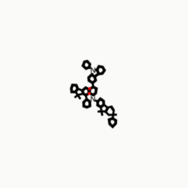 CC1(c2ccccc2)C=CC2=C(C1)C(C)(C)c1cc(N(c3ccc(-c4ccc5c(c4)c4ccccc4n5-c4ccccc4)cc3)c3ccccc3-c3cccc4c3C(C)(C)c3ccccc3-4)ccc12